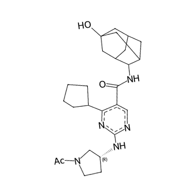 CC(=O)N1CC[C@@H](Nc2ncc(C(=O)NC3C4CC5CC3CC(O)(C5)C4)c(C3CCCC3)n2)C1